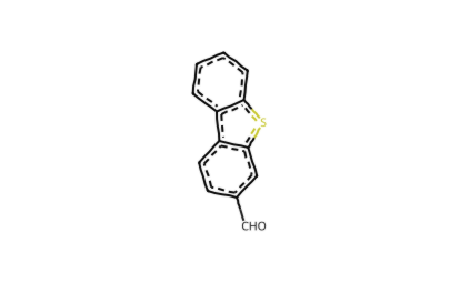 O=Cc1ccc2c(c1)sc1ccccc12